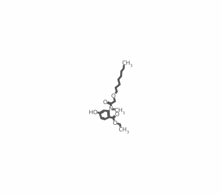 CCCCCCCCOCC(=O)N(C)c1cc(O)ccc1C(=O)OCC